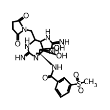 CS(=O)(=O)c1cccc(C(=O)N[C@H]2CN3C(=N)NC(CN4C(=O)CCC4=O)C4NC(=N)NC43C2(O)O)c1